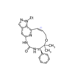 CCn1ncc2cc3nc(c21)/C=C\COC(C)(C)[C@@H](c1ccccc1)NC(=O)N3